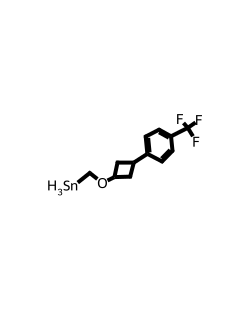 FC(F)(F)c1ccc(C2CC(O[CH2][SnH3])C2)cc1